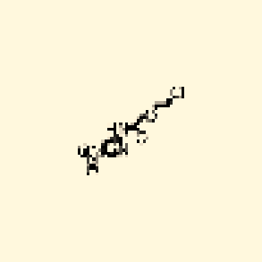 O=C(COCCCl)Nn1cc([N+](=O)[O-])cn1